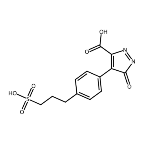 O=C(O)C1=C(c2ccc(CCCS(=O)(=O)O)cc2)C(=O)N=N1